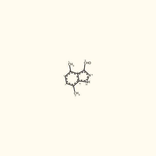 Cc1ccc(C)c2c(C=O)n[nH]c12